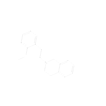 COc1ccccc1CCN1CCc2ccccc2C1